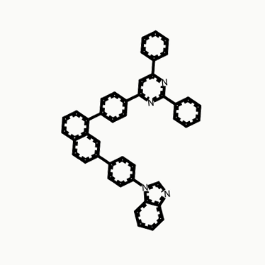 c1ccc(-c2cc(-c3ccc(-c4cccc5ccc(-c6ccc(-n7cnc8ccccc87)cc6)cc45)cc3)nc(-c3ccccc3)n2)cc1